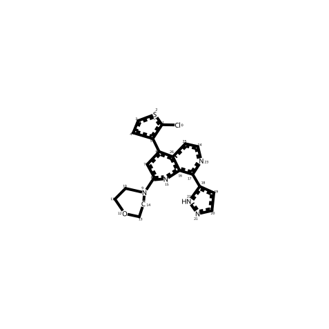 Clc1sccc1-c1cc(N2CCOCC2)nc2c(-c3ccn[nH]3)nccc12